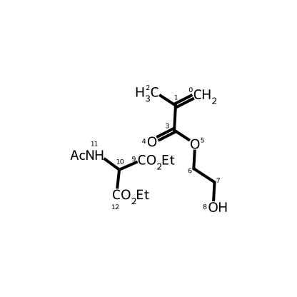 C=C(C)C(=O)OCCO.CCOC(=O)C(NC(C)=O)C(=O)OCC